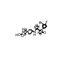 O=C(O)NS(=O)(=O)N1CCC(Nc2nonc2-c2noc(=O)n2-c2ccc(F)c(Br)c2)CC1